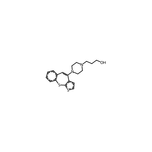 OCCCN1CCN(C2=Cc3ccccc3Sc3sccc32)CC1